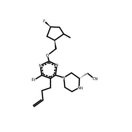 C=CCCc1c(CC)nc(OC[C@H]2C[C@@H](F)CC2C)nc1N1CCN[C@@H](CC#N)C1